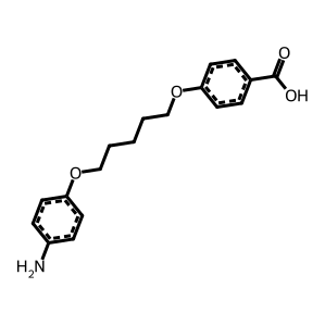 Nc1ccc(OCCCCCOc2ccc(C(=O)O)cc2)cc1